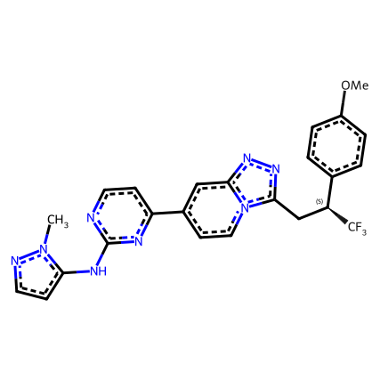 COc1ccc([C@H](Cc2nnc3cc(-c4ccnc(Nc5ccnn5C)n4)ccn23)C(F)(F)F)cc1